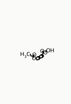 CCCC(=O)OC1CC2CC1C1C3CC(CC3C(=O)OCO)C21